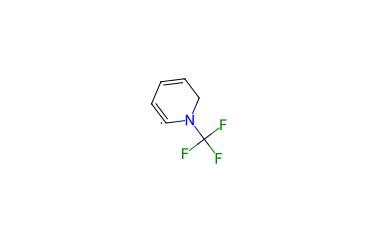 FC(F)(F)N1[C]=CC=CC1